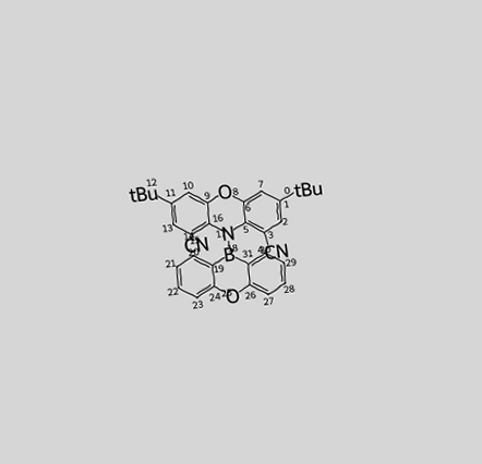 CC(C)(C)c1cc(C#N)c2c(c1)Oc1cc(C(C)(C)C)cc(C#N)c1N2B1c2ccccc2Oc2ccccc21